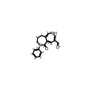 O=CC1=CNC=C2CCCN(c3ccccc3)C(=O)C2=C1